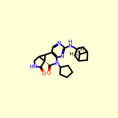 CC1(C)C2CC(Nc3ncc4c(n3)N(C3CCCC3)C(=O)[C@]35C(=O)NCC3C45)CC1C2